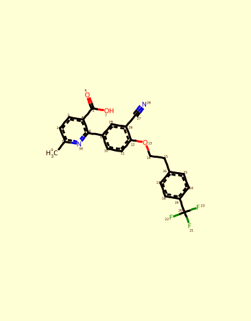 Cc1ccc(C(=O)O)c(-c2ccc(OCCc3ccc(C(F)(F)F)cc3)c(C#N)c2)n1